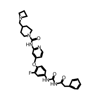 O=C(Cc1ccccc1)NC(=O)Nc1ccc(Oc2ccnc(NC(=O)N3CCC(CN4CCC4)CC3)c2)c(F)c1